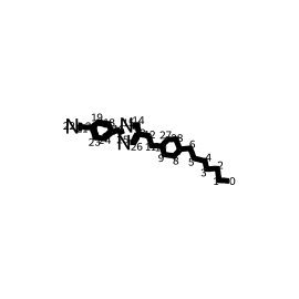 CCCCCCCC1CCC(CCc2cnc(-c3ccc(C#N)cc3)nc2)CC1